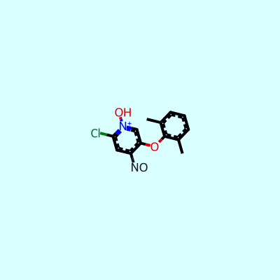 Cc1cccc(C)c1Oc1c[n+](O)c(Cl)cc1N=O